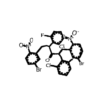 O=C(C(Cc1cc(Br)ccc1[N+](=O)[O-])c1c(F)cccc1Cl)C(Cc1cc(Br)ccc1[N+](=O)[O-])c1c(F)cccc1Cl